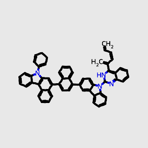 C=C/C=C\C(=C)C1=c2ccccc2=NC(n2c3ccccc3c3cc(-c4ccc(-c5cc6c(c7ccccc57)c5ccccc5n6C5=CCCC=C5)c5ccccc45)ccc32)N1